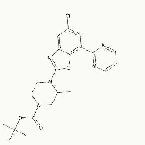 CC1CN(C(=O)OC(C)(C)C)CCN1c1nc2cc(Cl)cc(-c3ncccn3)c2o1